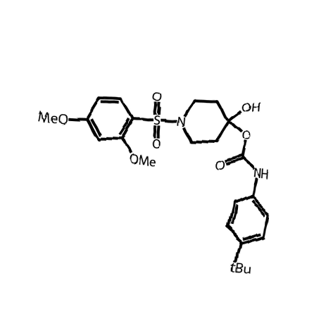 COc1ccc(S(=O)(=O)N2CCC(O)(OC(=O)Nc3ccc(C(C)(C)C)cc3)CC2)c(OC)c1